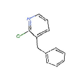 Clc1ncccc1Cc1ccccc1